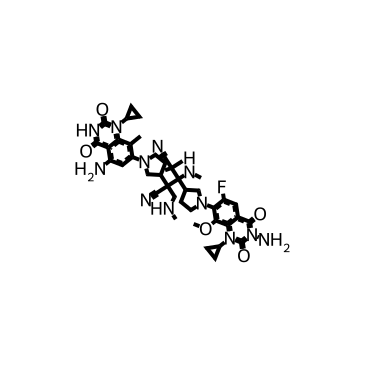 CNCC(C#N)(C1CCN(c2cc(N)c3c(=O)[nH]c(=O)n(C4CC4)c3c2C)C1)C(NC)(C1CCN(c2c(F)cc3c(=O)n(N)c(=O)n(C4CC4)c3c2OC)C1)C(C)(C)C#N